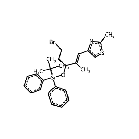 C/C(=C\c1csc(C)n1)[C@H](CCBr)O[Si](c1ccccc1)(c1ccccc1)C(C)(C)C